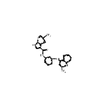 O=C(Nc1cccc(Nc2cc(C(F)(F)F)nc3ccccc23)c1)c1c[nH]c2ncc(C(F)(F)F)cc12